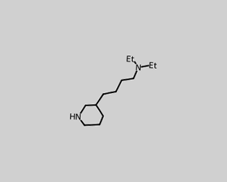 CCN(CC)CCCCC1CCCNC1